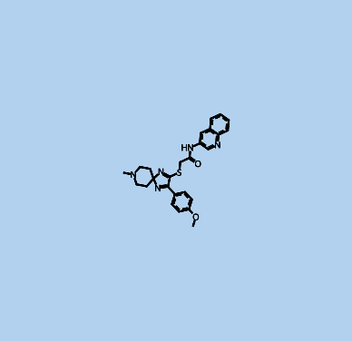 COc1ccc(C2=NC3(CCN(C)CC3)N=C2SCC(=O)Nc2cnc3ccccc3c2)cc1